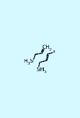 C=CC[SiH3].FC=CC[SiH3]